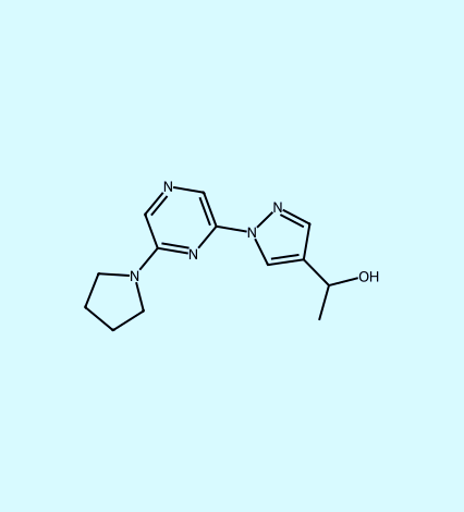 CC(O)c1cnn(-c2cncc(N3CCCC3)n2)c1